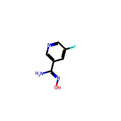 N/C(=N\O)c1cncc(F)c1